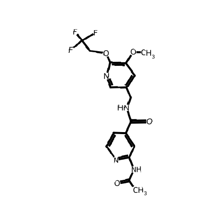 COc1cc(CNC(=O)c2ccnc(NC(C)=O)c2)cnc1OCC(F)(F)F